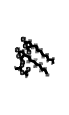 CC(=O)OC(C)=O.CCCCCCC=CC1CC(=O)OC1=O.CCCCCCC=CC1CC(=O)OC1=O